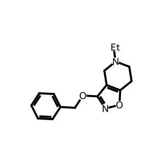 CCN1CCc2onc(OCc3ccccc3)c2C1